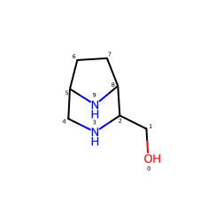 OCC1NCC2CCC1N2